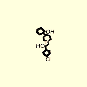 OC(CN1CCC(O)(c2ccccc2)CC1)c1ccc(Cl)cc1